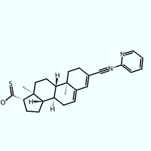 C[C@]12CC[C@H]3[C@@H](CC=C4C=C(C#[N+]c5ccccn5)CC[C@@]43C)[C@@H]1CC[C@@H]2C([O-])=S